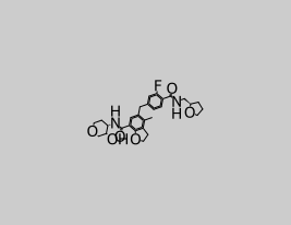 Cc1c(Cc2ccc(C(=O)NC[C@H]3CCCO3)c(F)c2)cc(C(=O)N[C@H]2CCOC[C@@H]2O)c2c1CCO2